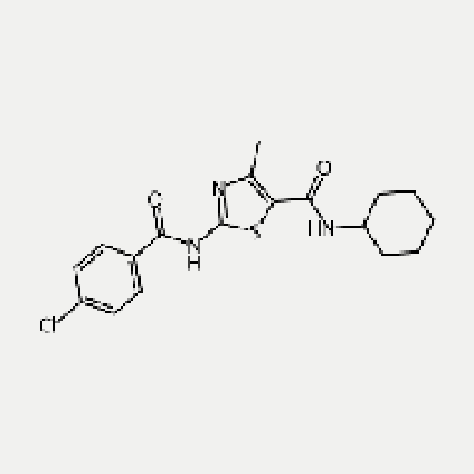 Cc1nc(NC(=O)c2ccc(Cl)cc2)sc1C(=O)NC1CCCCC1